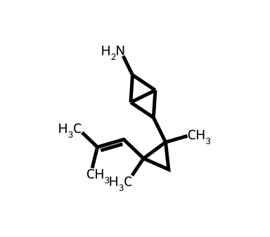 CC(C)=CC1(C)CC1(C)C1C2C(N)C21